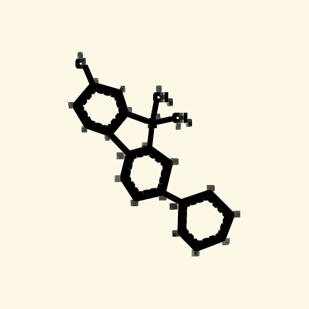 C[Si]1(C)c2cc(Cl)ccc2-c2ccc(-c3ccccc3)cc21